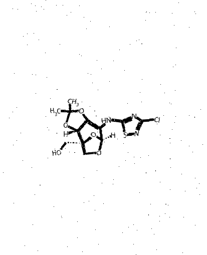 CC1(C)OC2=C(Nc3nc(Cl)ns3)[C@H]3OC[C@](CO)(O3)[C@@H]2O1